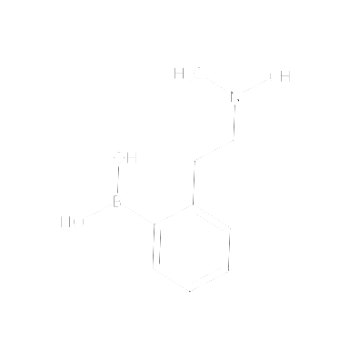 CN(C)CCc1ccccc1B(O)O